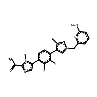 COc1cccc(Cn2cc(-c3ccc(-c4cnc(C(N)=O)n4C)c(F)c3F)c(C)n2)n1